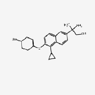 CC(N)(CO)c1ccc2c(C3CC3)c(OC3CCC(C(C)(C)C)CC3)ccc2c1